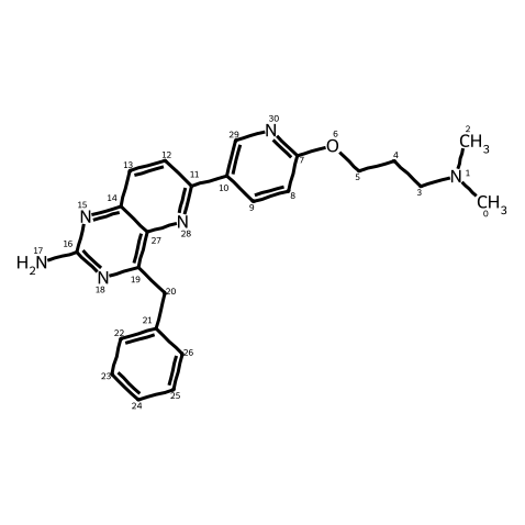 CN(C)CCCOc1ccc(-c2ccc3nc(N)nc(Cc4ccccc4)c3n2)cn1